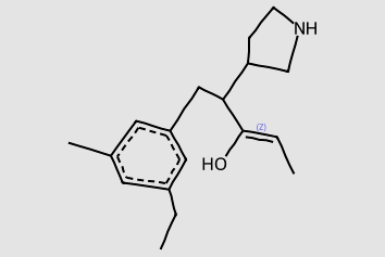 C/C=C(\O)C(Cc1cc(C)cc(CC)c1)C1CCNC1